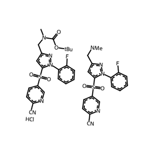 CN(Cc1cc(S(=O)(=O)c2ccc(C#N)nc2)n(-c2ccccc2F)n1)C(=O)OC(C)(C)C.CNCc1cc(S(=O)(=O)c2ccc(C#N)nc2)n(-c2ccccc2F)n1.Cl